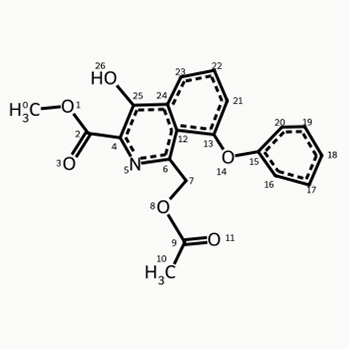 COC(=O)c1nc(COC(C)=O)c2c(Oc3ccccc3)cccc2c1O